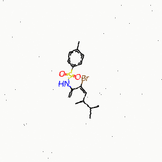 C=C(NS(=O)(=O)c1ccc(C)cc1)/C(Br)=C\C(C)C(C)C